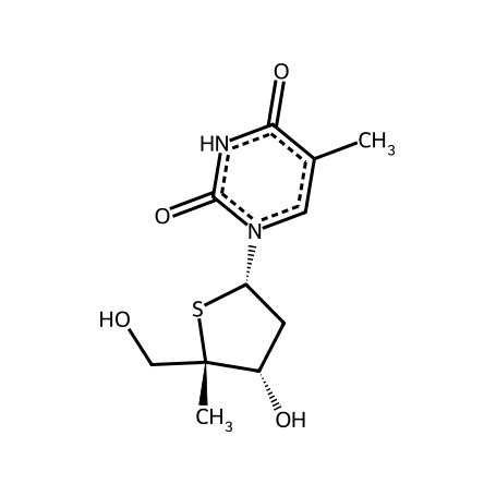 Cc1cn([C@@H]2C[C@H](O)[C@](C)(CO)S2)c(=O)[nH]c1=O